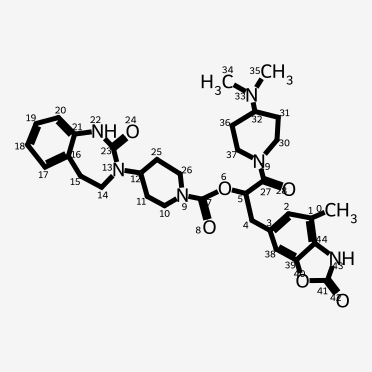 Cc1cc(CC(OC(=O)N2CCC(N3CCc4ccccc4NC3=O)CC2)C(=O)N2CCC(N(C)C)CC2)cc2oc(=O)[nH]c12